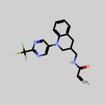 C=CC(=O)NCC1Cc2ccccc2N(c2cnc(C(F)(F)F)nc2)C1